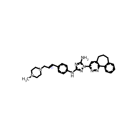 CN1CCN(C/C=C/c2ccc(Nc3nc(N)n(-c4cc5c(nn4)-c4ccccc4CCC5)n3)cc2)CC1